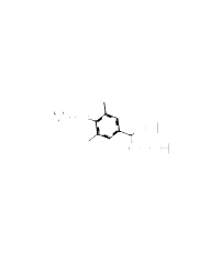 COc1c(C)cc([C@@H](O)C(=O)O)cc1C